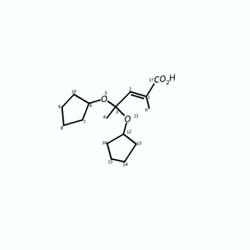 CC(=CC(C)(OC1CCCC1)OC1CCCC1)C(=O)O